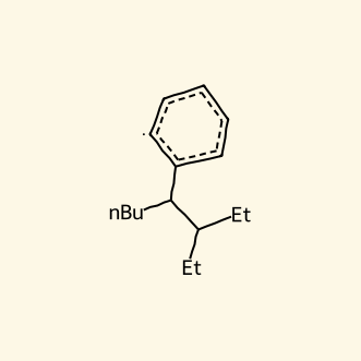 CCCCC(c1[c]cccc1)C(CC)CC